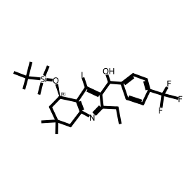 CCc1nc2c(c(I)c1C(O)c1ccc(C(F)(F)F)cc1)[C@H](O[Si](C)(C)C(C)(C)C)CC(C)(C)C2